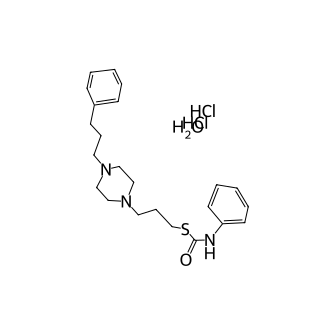 Cl.Cl.O.O=C(Nc1ccccc1)SCCCN1CCN(CCCc2ccccc2)CC1